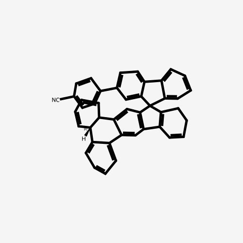 N#Cc1ccc(-c2ccc3c(c2)C2(C4=C(C=CCC4)c4cc5c(cc42)C2C=CC=C[C@H]2c2ccccc2-5)c2ccccc2-3)cc1